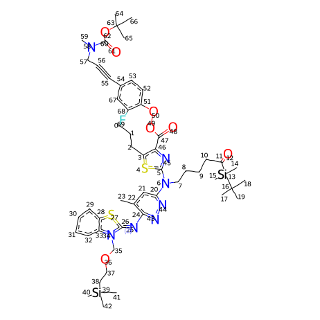 CCCc1sc(N(CCCCC(=O)[Si](C)(C)C(C)(C)C)c2cc(C)c(/N=c3\sc4ccccc4n3COCC[Si](C)(C)C)nn2)nc1C(=O)OOc1ccc(C#CCN(C)C(=O)OC(C)(C)C)cc1F